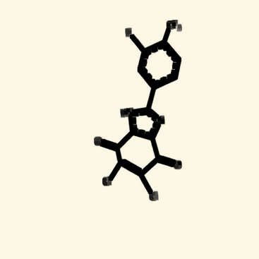 O=C1C(Cl)=C(Cl)C(=O)c2[nH]c(-c3ccc(C(F)(F)F)c(F)c3)nc21